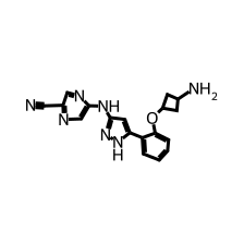 N#Cc1cnc(Nc2cc(-c3ccccc3OC3CC(N)C3)[nH]n2)cn1